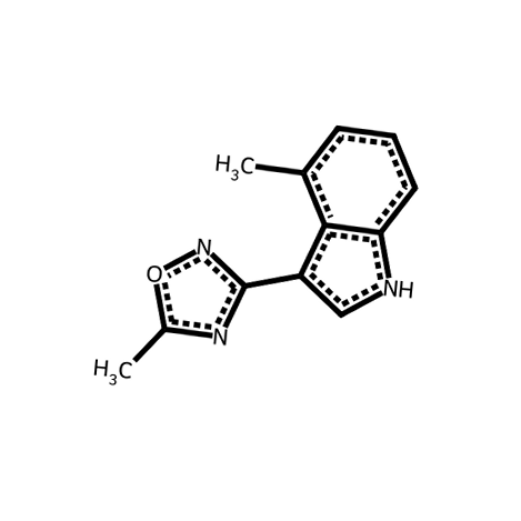 Cc1nc(-c2c[nH]c3cccc(C)c23)no1